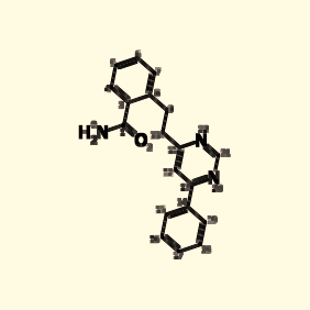 NC(=O)c1ccccc1C[CH]c1cc(-c2ccccc2)ncn1